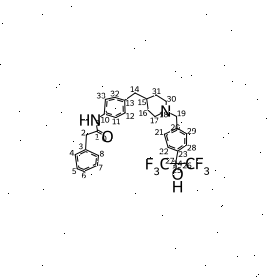 O=C(Cc1ccccc1)Nc1ccc(CC2CCN(Cc3ccc(C(O)(C(F)(F)F)C(F)(F)F)cc3)CC2)cc1